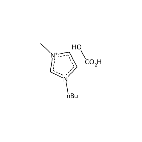 CCCCn1cc[n+](C)c1.O=C(O)O